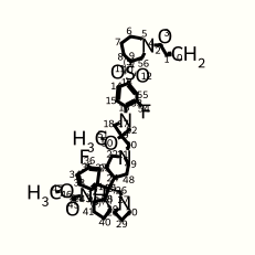 C=CC(=O)N1CCCC[C@H](S(=O)(=O)c2ccc(N3CC(CN4CCC([C@@](CN5CCC5)(c5cccc(F)c5)[C@H]5CCC[C@@H]5NC(=O)OC)CC4)(OC)C3)c(F)c2)C1